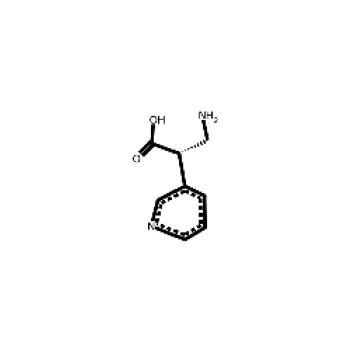 NC[C@@H](C(=O)O)c1cccnc1